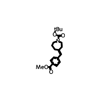 COC(=O)c1ccc(C=C2CCCN(C(=O)OC(C)(C)C)CC2)cc1